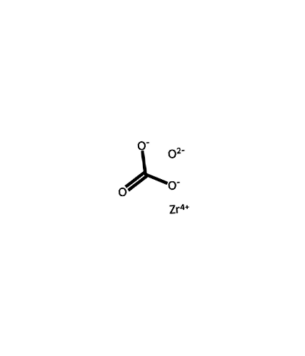 O=C([O-])[O-].[O-2].[Zr+4]